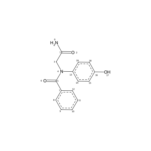 NC(=O)CN(C(=O)c1ccccc1)c1ccc(O)cc1